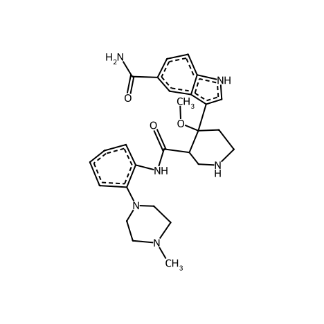 COC1(c2c[nH]c3ccc(C(N)=O)cc23)CCNCC1C(=O)Nc1ccccc1N1CCN(C)CC1